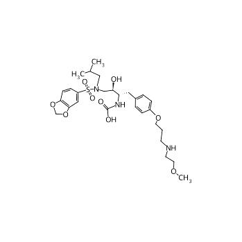 COCCNCCCOc1ccc(C[C@H](NC(=O)O)[C@H](O)CN(CC(C)C)S(=O)(=O)c2ccc3c(c2)OCO3)cc1